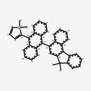 CC1(C)c2ccccc2-c2c1cc(-c1c3ccccc3c(C3=CC=C[Si]3(C)C)c3ccccc13)c1ccccc21